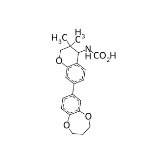 CC1(C)COc2cc(-c3ccc4c(c3)OCCCO4)ccc2C1NC(=O)O